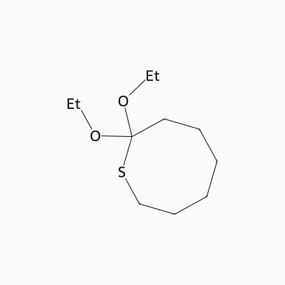 CCOC1(OCC)CCCCCCS1